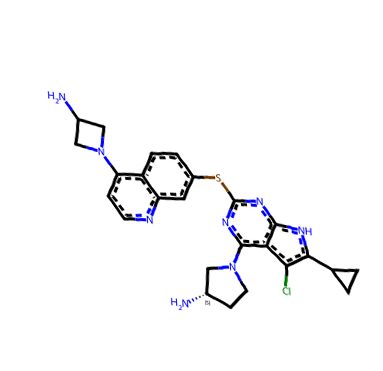 NC1CN(c2ccnc3cc(Sc4nc(N5CC[C@H](N)C5)c5c(Cl)c(C6CC6)[nH]c5n4)ccc23)C1